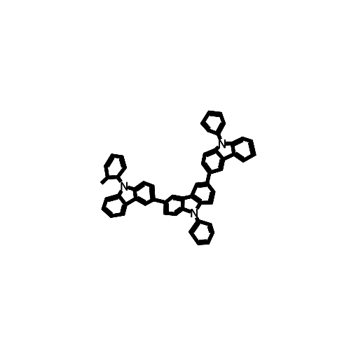 CC1C=CC=CC1n1c2ccccc2c2cc(-c3ccc4c(c3)c3cc(-c5ccc6c(c5)c5ccccc5n6-c5ccccc5)ccc3n4-c3ccccc3)ccc21